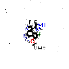 COCCOc1cc(F)cc2c3c(-c4nn[nH]c4C(F)(F)F)ccnc3c3ncn(C)c3c12